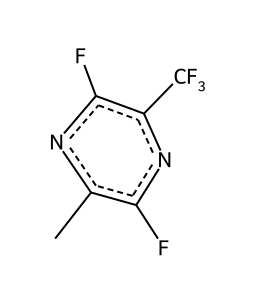 Cc1nc(F)c(C(F)(F)F)nc1F